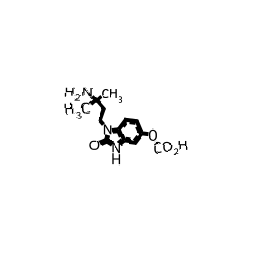 CC(C)(N)CCn1c(=O)[nH]c2cc(OC(=O)O)ccc21